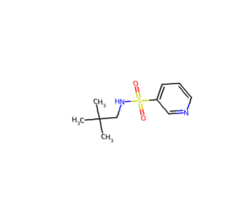 CC(C)(C)CNS(=O)(=O)c1cccnc1